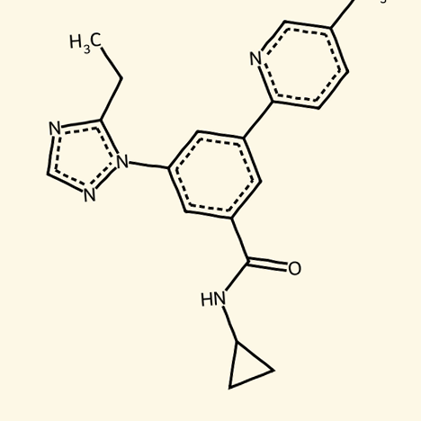 CCc1ncnn1-c1cc(C(=O)NC2CC2)cc(-c2ccc(C)cn2)c1